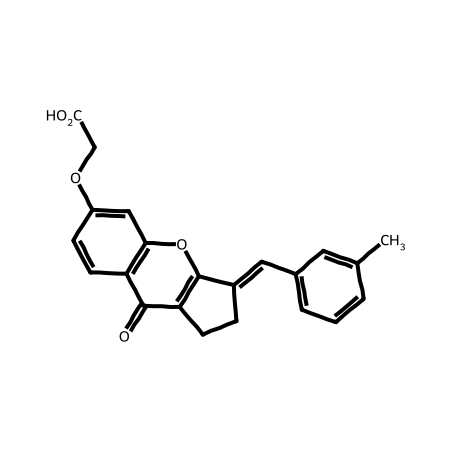 Cc1cccc(C=C2CCc3c2oc2cc(OCC(=O)O)ccc2c3=O)c1